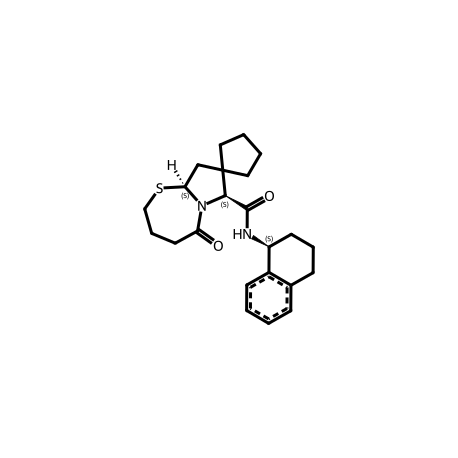 O=C(N[C@H]1CCCc2ccccc21)[C@H]1N2C(=O)CCCS[C@H]2CC12CCCC2